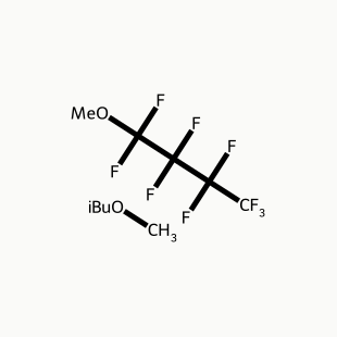 COC(F)(F)C(F)(F)C(F)(F)C(F)(F)F.COCC(C)C